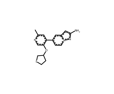 Cc1cc(-c2ccn3nc(N)cc3c2)c(OC2CCSC2)cn1